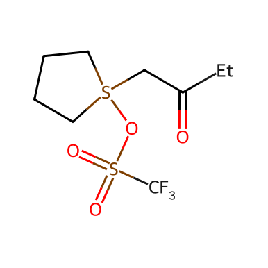 CCC(=O)CS1(OS(=O)(=O)C(F)(F)F)CCCC1